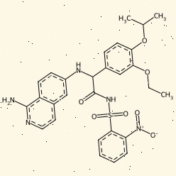 CCOc1cc(C(Nc2ccc3c(N)nccc3c2)C(=O)NS(=O)(=O)c2ccccc2[N+](=O)[O-])ccc1OC(C)C